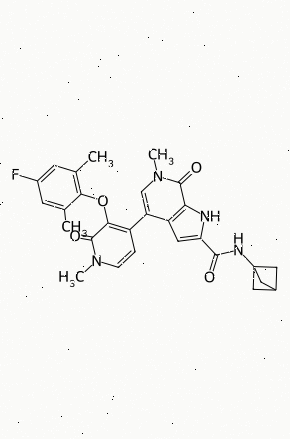 Cc1cc(F)cc(C)c1Oc1c(-c2cn(C)c(=O)c3[nH]c(C(=O)NC45CC(C4)C5)cc23)ccn(C)c1=O